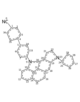 N#Cc1ccc(-c2ccc(-n3c4cccc5ccc6cc7c(ccn7-c7ccccc7)c3c6c54)cc2)cc1